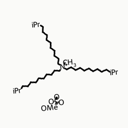 CC(C)CCCCCCCCCC[N+](C)(CCCCCCCCCCC(C)C)CCCCCCCCCCC(C)C.COS(=O)(=O)[O-]